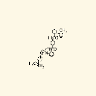 Cc1ccccc1-c1ccccc1C(=O)Nc1ccc(C(=O)N2CCC(=O)N(CC(=O)N3CCC(N(C)C)CC3)c3ccccc32)cc1